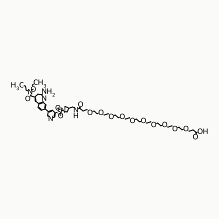 CCCN(OCC)C(=O)C1=Cc2ccc(-c3cncc(S(=O)(=O)N4CC(CNC(=O)CCOCCOCCOCCOCCOCCOCCOCCOCCOCCOCCC(=O)O)C4)c3)cc2N=C(N)C1